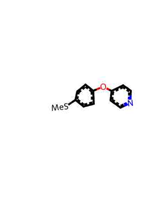 CSc1ccc(Oc2ccncc2)cc1